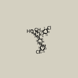 CN1C[C@H](Cc2ccc(Cl)cc2)N(C2CCN(c3cc(Cl)ccn3)CC2)C[C@@H]1CO